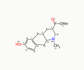 COC(=O)C1CC2Cc3cc(O)ccc3CC2N(C)C1